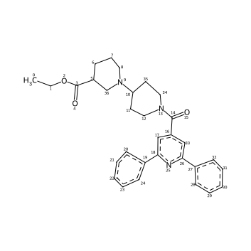 CCOC(=O)C1CCCN(C2CCN(C(=O)c3cc(-c4ccccc4)nc(-c4ccccc4)c3)CC2)C1